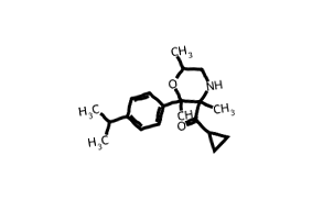 CC1CNC(C)(C(=O)C2CC2)C(C)(c2ccc(C(C)C)cc2)O1